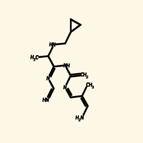 C=C(/N=C\C(C)=C/N)N/C(=N\C=N)C(C)NCC1CC1